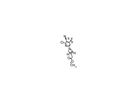 CCOC(=O)CC1[C@H]2CN(c3cc(C(F)(F)F)c(C#N)c(Cl)n3)C[C@@H]12